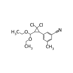 CCOC(OCC)C1C(c2cc(C)cc(C#N)c2)C1(Cl)Cl